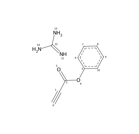 C#CC(=O)Oc1ccccc1.N=C(N)N